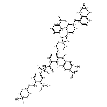 COc1nc2[nH]cc(F)c2cc1Oc1cc(N2CCC3(CC2)CC(N2CCN(Cc4ccnc5c4NC4CC4O5)C[C@H]2c2ccccc2C(C)C)C3)ccc1C(=O)NS(=O)(=O)c1cnc(NCC2CCC(C)(O)CC2)c([N+](=O)[O-])c1